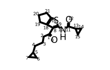 O=C(CCCC1CC1)c1c(NC(=O)C2CC2)sc2c1CCC2